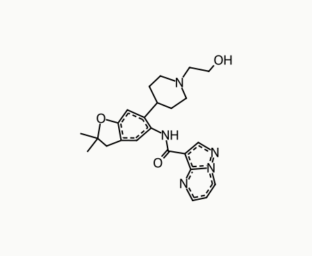 CC1(C)Cc2cc(NC(=O)c3cnn4cccnc34)c(C3CCN(CCO)CC3)cc2O1